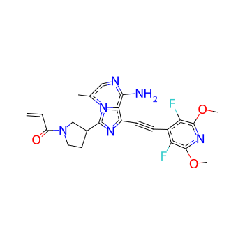 C=CC(=O)N1CCC(c2nc(C#Cc3c(F)c(OC)nc(OC)c3F)c3c(N)ncc(C)n23)C1